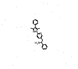 Cc1nn(-c2ccc(CC(N)c3ccccc3)cn2)c(C)c1-c1ccccc1